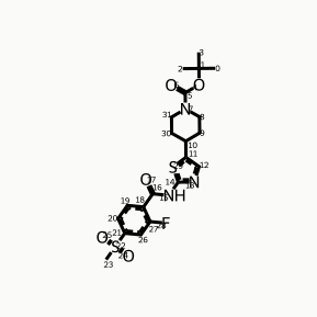 CC(C)(C)OC(=O)N1CCC(c2cnc(NC(=O)c3ccc(S(C)(=O)=O)cc3F)s2)CC1